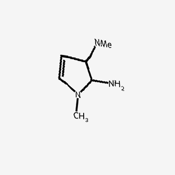 CNC1C=CN(C)C1N